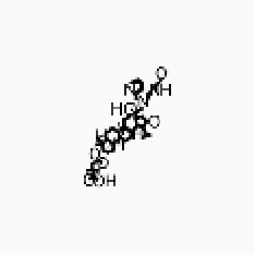 COCCNCCN(Cc1ccccn1)C[C@H](O)[C@@]12CC[C@]3(C)[C@H](CC[C@@H]4[C@@]5(C)CC[C@H](OC(=O)CC(C)(C)C(=O)O)C(C)(C)[C@H]5CC[C@]43C)C1=C(C(C)C)C(=O)C2